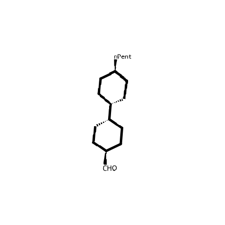 CCCCC[C@H]1CC[C@H]([C@H]2CC[C@H](C=O)CC2)CC1